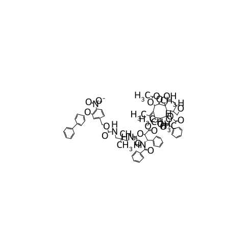 CC(=O)O[C@H]1C(=O)[C@@]2(C)[C@H]([C@H](OC(=O)c3ccccc3)[C@]3(O)C[C@H](OC(=O)[C@H](OC(=O)NCC(C)(C)CNC(=O)OCc4ccc([N+](=O)[O-])c(Oc5ccc(-c6ccccc6)cc5)c4)[C@@H](NC(=O)c4ccccc4)c4ccccc4)C(C)=C1C3(C)C)[C@]1(OC(C)=O)CO[C@@H]1C[C@@H]2O